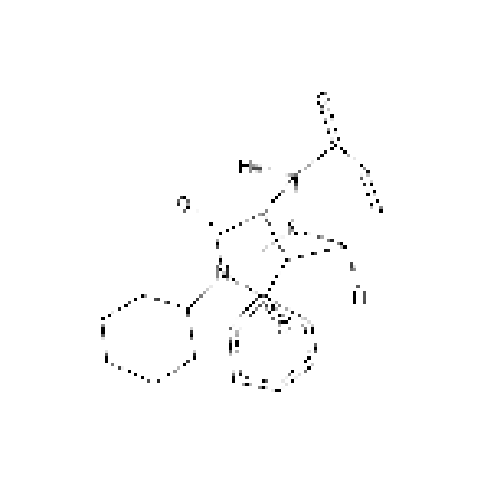 O=C1C=C[C@H]2C3C(=O)N(C4CCCCC4)C(=O)C3[C@@H]1N2Cc1ccccc1